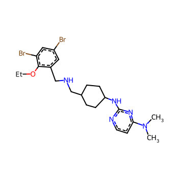 CCOc1c(Br)cc(Br)cc1CNCC1CCC(Nc2nccc(N(C)C)n2)CC1